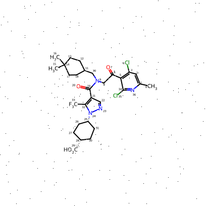 Cc1cc(Cl)c(C(=O)CN(CC2CCC(C)(C)CC2)C(=O)c2cnn([C@H]3CC[C@@H](C(=O)O)CC3)c2C(F)(F)F)c(Cl)n1